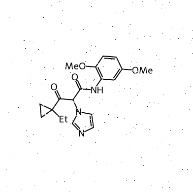 CCC1(C(=O)C(C(=O)Nc2cc(OC)ccc2OC)n2ccnc2)CC1